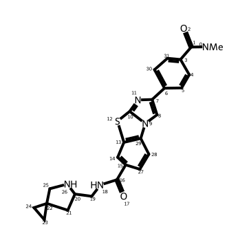 CNC(=O)c1ccc(-c2cn3c(n2)sc2cc(C(=O)NCC4CC5(CC5)CN4)ccc23)cc1